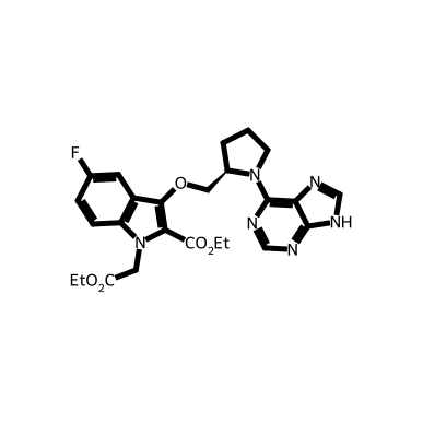 CCOC(=O)Cn1c(C(=O)OCC)c(OC[C@H]2CCCN2c2ncnc3[nH]cnc23)c2cc(F)ccc21